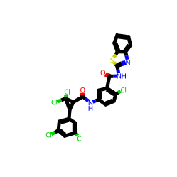 O=C(Nc1nc2ccccc2s1)c1cc(NC(=O)C2C(c3cc(Cl)cc(Cl)c3)C2(Cl)Cl)ccc1Cl